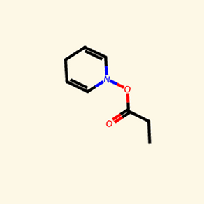 CCC(=O)ON1C=CCC=C1